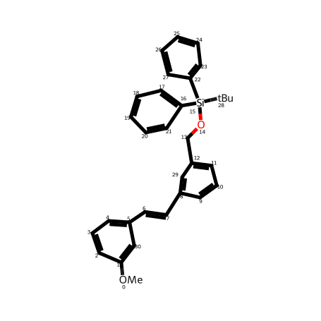 COc1cccc(C=Cc2cccc(CO[Si](c3ccccc3)(c3ccccc3)C(C)(C)C)c2)c1